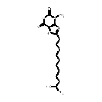 CC(O)CCCCCCCCCc1nc2c([nH]1)c(=O)[nH]c(=O)n2C